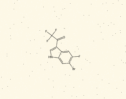 O=C(c1c[nH]c2cc(Br)c(F)cc12)C(F)(F)F